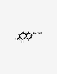 CCCCCc1ccc2[nH]c(=O)ccc2c1